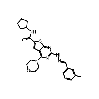 Cc1cccc(/C=N/Nc2nc(N3CCOCC3)c3cc(C(=O)NC4CCCC4)sc3n2)c1